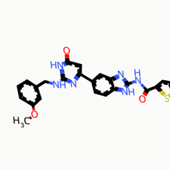 COc1cccc(CNc2nc(-c3ccc4[nH]c(NC(=O)c5cccs5)nc4c3)cc(=O)[nH]2)c1